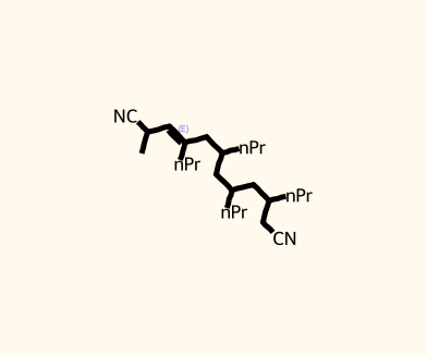 CCC/C(=C\C(C)C#N)CC(CCC)CC(CCC)CC(CC#N)CCC